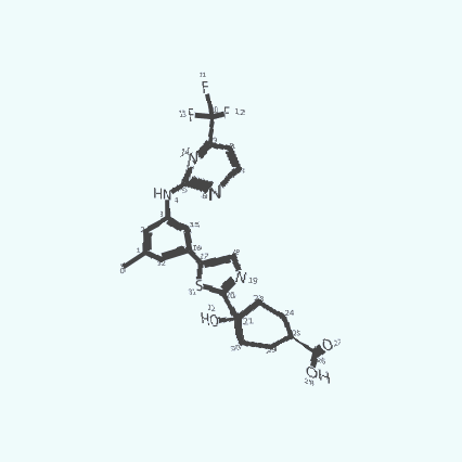 Cc1cc(Nc2nccc(C(F)(F)F)n2)cc(-c2cnc([C@]3(O)CC[C@@H](C(=O)O)CC3)s2)c1